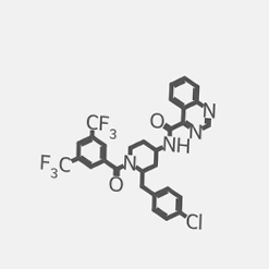 O=C(NC1CCN(C(=O)c2cc(C(F)(F)F)cc(C(F)(F)F)c2)C(Cc2ccc(Cl)cc2)C1)c1ncnc2ccccc12